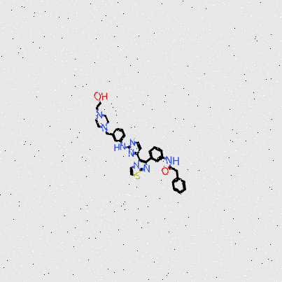 O=C(Cc1ccccc1)Nc1cccc(-c2nc3sccn3c2-c2ccnc(Nc3cccc(CN4CCN(CCO)CC4)c3)n2)c1